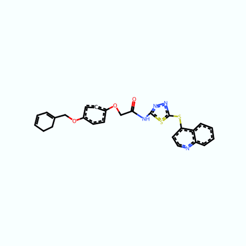 O=C(COc1ccc(OCC2=CC=CCC2)cc1)Nc1nnc(Sc2ccnc3ccccc23)s1